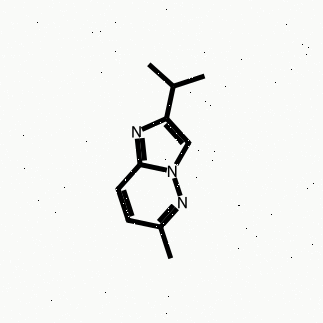 Cc1ccc2nc(C(C)C)cn2n1